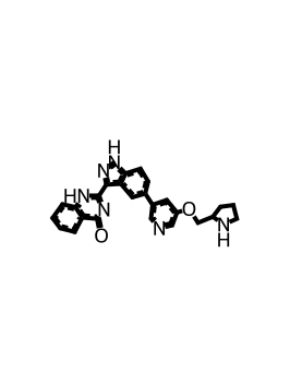 O=c1nc(-c2n[nH]c3ccc(-c4cncc(OCC5CCCN5)c4)cc23)[nH]c2ccccc12